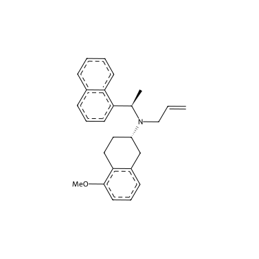 C=CCN([C@H]1CCc2c(cccc2OC)C1)[C@H](C)c1cccc2ccccc12